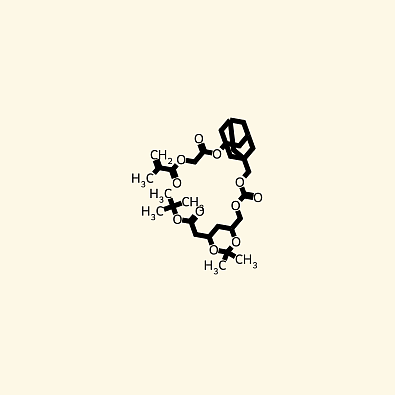 C=C(C)C(=O)OCC(=O)OC12CC3CC(CC(COC(=O)OCC4CC(CC(=O)OC(C)(C)C)OC(C)(C)O4)(C3)C1)C2